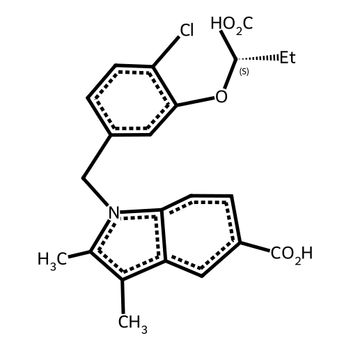 CC[C@H](Oc1cc(Cn2c(C)c(C)c3cc(C(=O)O)ccc32)ccc1Cl)C(=O)O